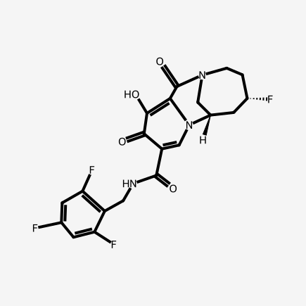 O=C(NCc1c(F)cc(F)cc1F)c1cn2c(c(O)c1=O)C(=O)N1CC[C@H](F)C[C@H]2C1